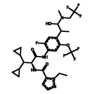 CCn1nccc1C(=O)N[C@H](C(=O)Nc1cc(OC(F)(F)F)c(C(C)C(O)N(C)CC(F)(F)F)cc1F)C(C1CC1)C1CC1